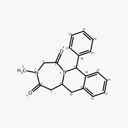 CN1CC(=O)N2C(CC1=O)Cc1ccccc1C2c1ccccc1